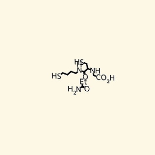 CCC(N)=O.O=C(O)CNC(CS)C(=O)NCCCCS